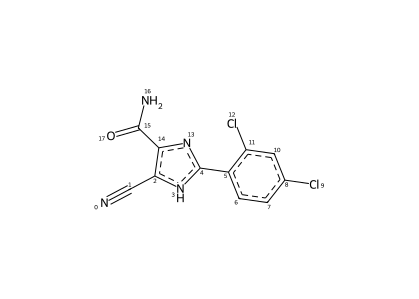 N#Cc1[nH]c(-c2ccc(Cl)cc2Cl)nc1C(N)=O